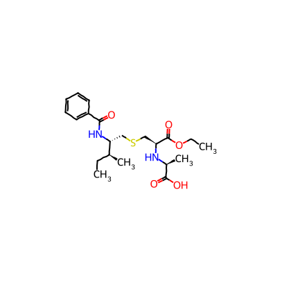 CCOC(=O)[C@H](CSC[C@@H](NC(=O)c1ccccc1)[C@@H](C)CC)N[C@@H](C)C(=O)O